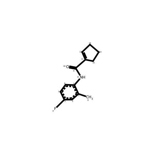 Cc1cc(F)ccc1NC(=O)C1=CCCC1